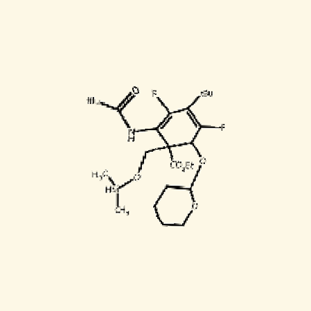 CCOC(=O)C1(CO[SiH](C)C)C(NC(=O)C(C)(C)C)=C(F)C(C(C)(C)C)=C(F)C1OC1CCCCO1